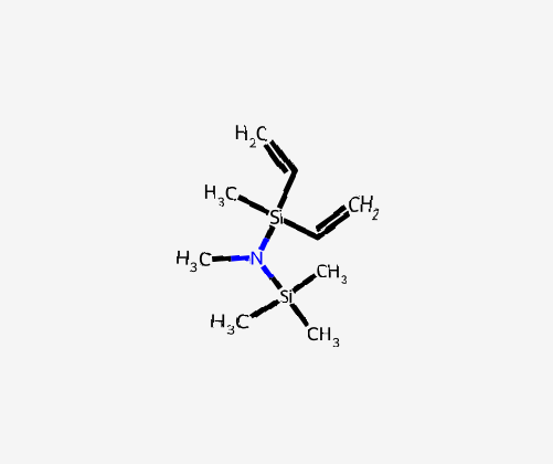 C=C[Si](C)(C=C)N(C)[Si](C)(C)C